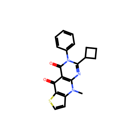 Cn1c2ccsc2c(=O)c2c(=O)n(-c3ccccc3)c(C3CCC3)nc21